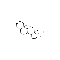 C[C@]12CC=CCC1CCC1C2CC[C@@]2(C)C1CC[C@]2(C)O